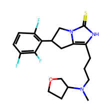 CN(CCCc1[nH]c(=S)n2c1CC(c1c(F)ccc(F)c1F)C2)C1CCOC1